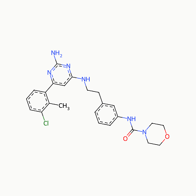 Cc1c(Cl)cccc1-c1cc(NCCc2cccc(NC(=O)N3CCOCC3)c2)nc(N)n1